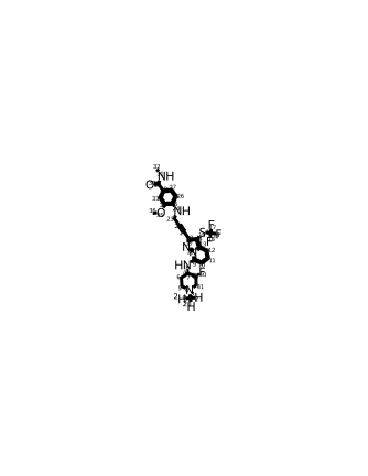 [2H]C([2H])([2H])N1CC[C@@H](Nc2cccc3c(SC(F)(F)F)c(C#CCNc4ccc(C(=O)NC)cc4OC)nn23)[C@@H](F)C1